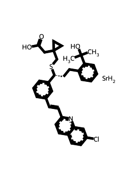 CC(C)(O)c1ccccc1CC[C@@H](SCC1(CC(=O)O)CC1)c1cccc(/C=C/c2ccc3ccc(Cl)cc3n2)c1.[SrH2]